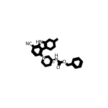 CC1CCc2c([nH]c3c(C#N)ccc(N4CCC[C@H](NC(=O)OCc5ccccc5)C4)c23)C1